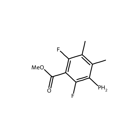 COC(=O)c1c(F)c(C)c(C)c(P)c1F